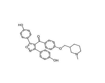 CN1CCCC(COc2ccc(C(=O)c3c(-c4ccc(O)cc4)noc3-c3ccc(O)cc3)cc2)C1